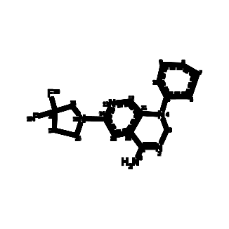 NC1=NCN(c2ccccc2)c2cnc(N3CCC(F)(F)C3)cc21